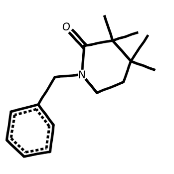 CC1(C)CCN(Cc2ccccc2)C(=O)C1(C)C